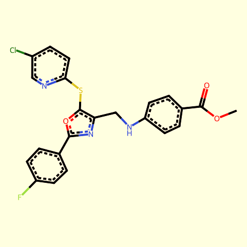 COC(=O)c1ccc(NCc2nc(-c3ccc(F)cc3)oc2Sc2ccc(Cl)cn2)cc1